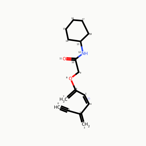 C#CC(=C)/C=C\C(=C)OCC(=O)NC1CCCCC1